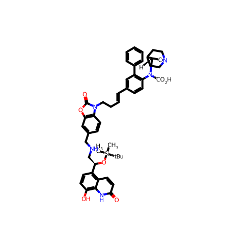 CC(C)(C)[Si](C)(C)O[C@H](CNCc1ccc2c(c1)oc(=O)n2CC/C=C/c1ccc(N(C(=O)O)[C@H]2CN3CCC2CC3)c(-c2ccccc2)c1)c1ccc(O)c2[nH]c(=O)ccc12